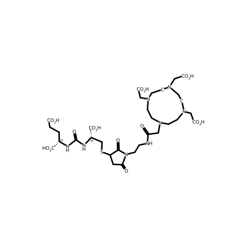 O=C(O)CC[C@H](NC(=O)N[C@@H](CSC1CC(=O)N(CCNC(=O)CN2CCN(CC(=O)O)CCN(CC(=O)O)CCN(CC(=O)O)CC2)C1=O)C(=O)O)C(=O)O